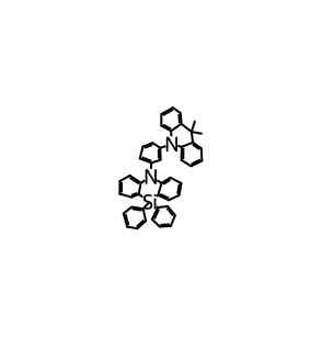 CC1(C)c2ccccc2N(c2cccc(N3c4ccccc4[Si](c4ccccc4)(c4ccccc4)c4ccccc43)c2)c2ccccc21